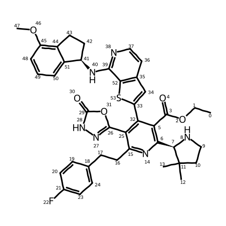 CCOC(=O)c1c([C@H]2NCCC2(C)C)nc(CCc2ccc(F)cc2)c(-c2n[nH]c(=O)o2)c1-c1cc2ccnc(N[C@@H]3CCc4c(OC)cccc43)c2s1